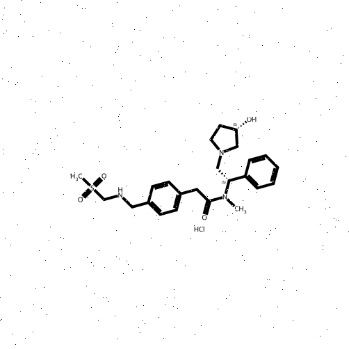 CN(C(=O)Cc1ccc(CNCS(C)(=O)=O)cc1)[C@H](CN1CC[C@H](O)C1)c1ccccc1.Cl